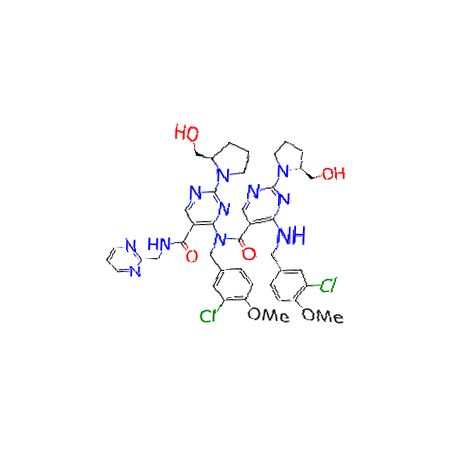 COc1ccc(CNc2nc(N3CCC[C@H]3CO)ncc2C(=O)N(Cc2ccc(OC)c(Cl)c2)c2nc(N3CCC[C@@H]3CO)ncc2C(=O)NCc2ncccn2)cc1Cl